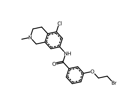 CN1CCc2c(Cl)cc(NC(=O)c3cccc(OCCBr)c3)cc2C1